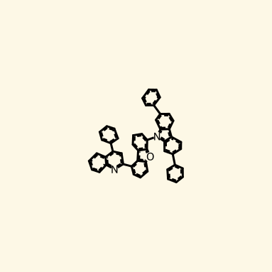 c1ccc(-c2ccc3c4ccc(-c5ccccc5)cc4n(-c4cccc5c4oc4cccc(-c6cc(-c7ccccc7)c7ccccc7n6)c45)c3c2)cc1